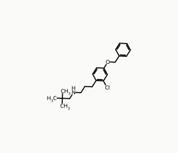 CC(C)(C)CNCCCc1ccc(OCc2ccccc2)cc1Cl